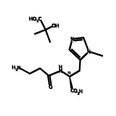 CC(C)(O)C(=O)O.Cn1cncc1C[C@H](NC(=O)CCN)C(=O)O